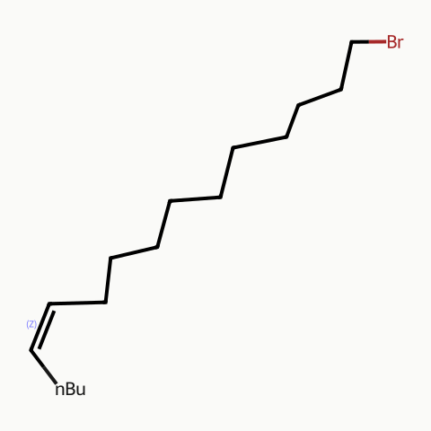 CCCC/C=C\CCCCCCCCCCBr